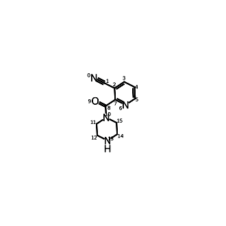 N#Cc1cccnc1C(=O)N1CCNCC1